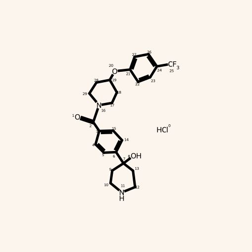 Cl.O=C(c1ccc(C2(O)CCNCC2)cc1)N1CCC(Oc2ccc(C(F)(F)F)cc2)CC1